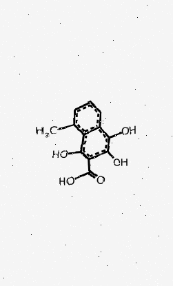 Cc1cccc2c(O)c(O)c(C(=O)O)c(O)c12